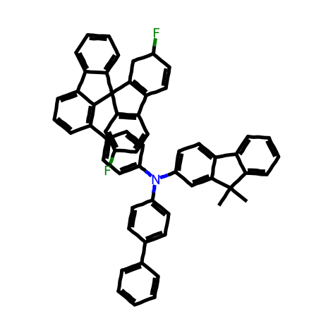 CC1(C)c2ccccc2-c2ccc(N(c3ccc(-c4ccccc4)cc3)c3ccc(-c4cccc5c4C4(C6=C(C=CC(F)C6)c6ccc(F)cc64)c4ccccc4-5)cc3)cc21